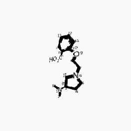 CN(C)[C@@H]1CCN(CCOc2ccccc2C(=O)O)C1